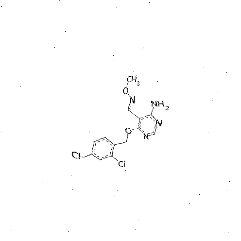 CON=Cc1c(N)ncnc1OCc1ccc(Cl)cc1Cl